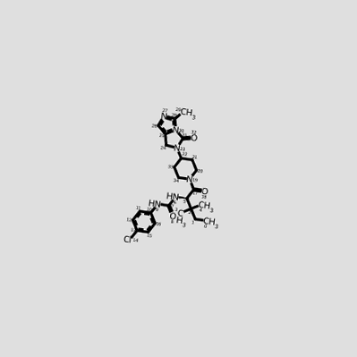 CCC(C)(C)[C@@H](NC(=O)Nc1ccc(Cl)cc1)C(=O)N1CCC(N2Cc3cnc(C)n3C2=O)CC1